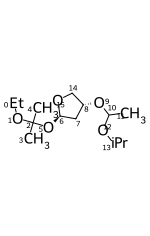 CCOC(C)(C)O[C@@H]1C[C@@H](OC(C)OC(C)C)CO1